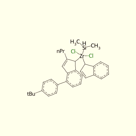 CCCC1=Cc2c(-c3ccc(C(C)(C)C)cc3)cccc2[CH]1[Zr]([Cl])([Cl])([CH]1C=Cc2ccccc21)[SiH](C)C